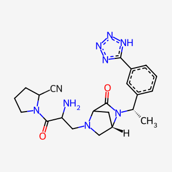 C[C@@H](c1cccc(-c2nnn[nH]2)c1)N1C(=O)C2C[C@H]1CN2CC(N)C(=O)N1CCCC1C#N